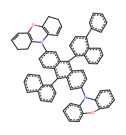 C1=CC2=C(CC1)OC1=C(CCC=C1)N2c1ccc2c(-c3cccc4ccccc34)c3cc(N4c5ccccc5Oc5ccccc54)ccc3c(-c3ccc(-c4ccccc4)c4ccccc34)c2c1